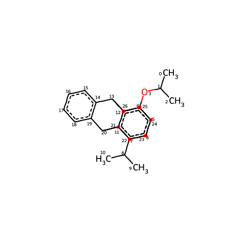 CC(C)Oc1ccc(C(C)C)c2c1C1c3ccccc3C2c2ccccc21